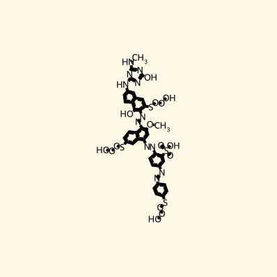 CNc1nc(O)nc(Nc2ccc3c(O)c(N=Nc4c(OC)cc(N=Nc5ccc(N=Nc6ccc(SOOO)cc6)cc5S(=O)(=O)O)c5cc(SOOO)ccc45)c(SOOO)cc3c2)n1